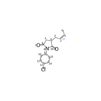 C/C=C\CC1CC(=O)N(c2ccc(Cl)cc2)C1=O